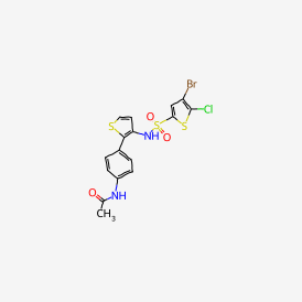 CC(=O)Nc1ccc(-c2sccc2NS(=O)(=O)c2cc(Br)c(Cl)s2)cc1